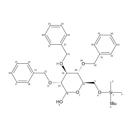 CC(C)(C)[Si](C)(C)OC[C@H]1OC(O)[C@H](OCc2ccccc2)[C@@H](OCc2ccccc2)[C@@H]1OCc1ccccc1